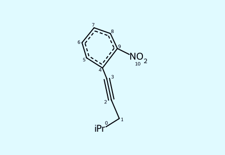 CC(C)CC#Cc1ccccc1[N+](=O)[O-]